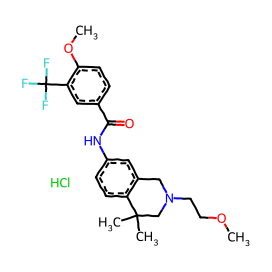 COCCN1Cc2cc(NC(=O)c3ccc(OC)c(C(F)(F)F)c3)ccc2C(C)(C)C1.Cl